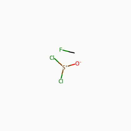 CF.[O-][S+](Cl)Cl